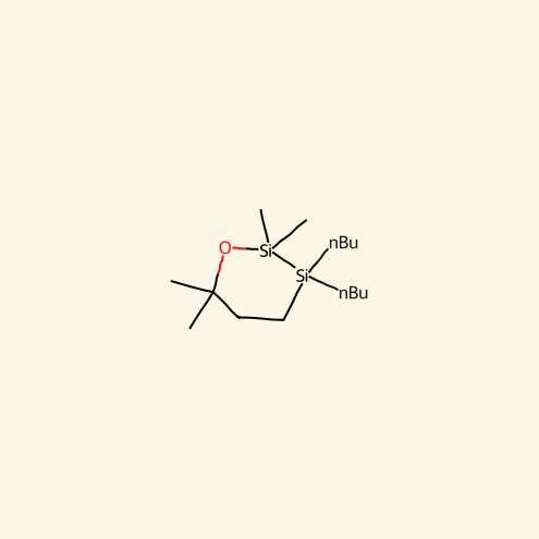 CCCC[Si]1(CCCC)CCC(C)(C)O[Si]1(C)C